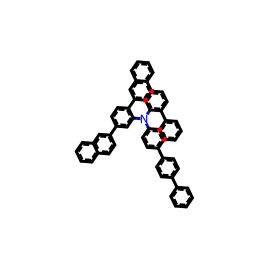 c1ccc(-c2ccc(-c3ccc(N(c4ccccc4-c4ccccc4)c4cc(-c5ccc6ccccc6c5)ccc4-c4ccc5ccccc5c4)cc3)cc2)cc1